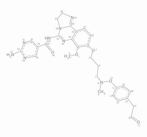 COc1c(OCCCN(C)Oc2ccc(CC=O)cc2)ccc2c1N=C(NC(=O)c1cnc(N)nc1)N1CCN=C21